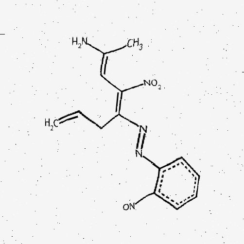 C=CCC(/N=N/c1ccccc1N=O)=C(\C=C(/C)N)[N+](=O)[O-]